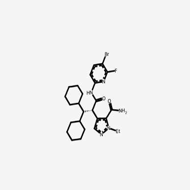 CCn1ncc([C@@H](C(=O)Nc2ccc(Br)c(F)n2)C(C2CCCCC2)C2CCCCC2)c1C(N)=O